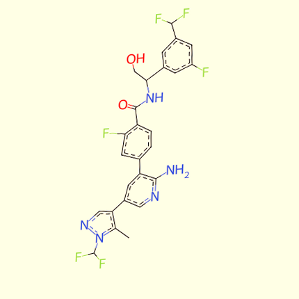 Cc1c(-c2cnc(N)c(-c3ccc(C(=O)NC(CO)c4cc(F)cc(C(F)F)c4)c(F)c3)c2)cnn1C(F)F